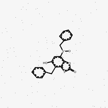 O=c1oc2c([S+]([O-])Cc3ccccc3)cc(O)c(Cc3ccccc3)c2s1